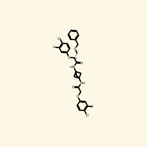 O=C(COc1ccc(Cl)c(F)c1)NC12CC(NC(=O)[C@@H](COCc3ccccc3)Oc3ccc(Cl)c(F)c3)(C1)C2